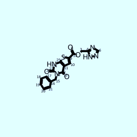 O=C(OCc1ncn[nH]1)c1cc2c(=O)n(Cc3ccccc3)c(=O)[nH]c2s1